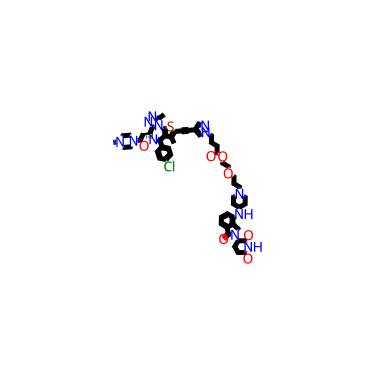 Cc1c(C#Cc2cnn(CCCC(=O)OCCOCCCN3CCC(Nc4cccc5c4CN(C4CCC(=O)NC4=O)C5=O)CC3)c2)sc2c1C(c1ccc(Cl)cc1)=N[C@@H](CC(=O)N1CCN(C)CC1)c1nnc(C)n1-2